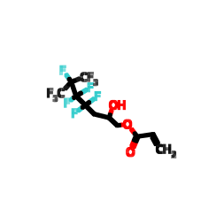 C=CC(=O)OCC(O)CC(F)(F)C(F)(F)C(F)(C(F)(F)F)C(F)(F)F